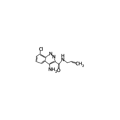 C=CCNC(=O)c1nnc2c(Cl)cccc2c1N